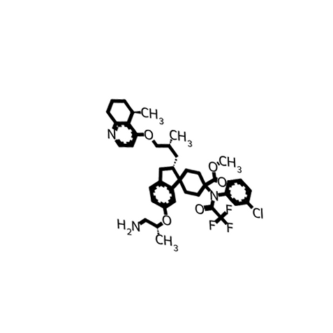 COC(=O)C1(N(C(=O)C(F)(F)F)c2cccc(Cl)c2)CCC2(CC1)c1cc(O[C@H](C)CN)ccc1C[C@@H]2C[C@@H](C)COc1ccnc2c1[C@H](C)CCC2